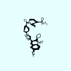 NC(=O)C1CCN(C(=O)c2ccc(-n3cc(-c4cc5cc(F)ccc5[nH]c4=O)nn3)cc2)C1I